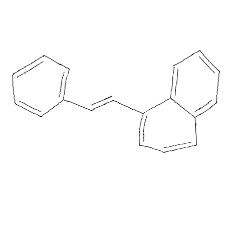 C(=C\c1cccc2ccccc12)/c1ccccc1